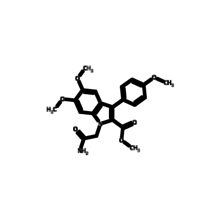 COC(=O)c1c(-c2ccc(OC)cc2)c2cc(OC)c(OC)cc2n1CC(N)=O